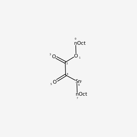 CCCCCCCCOC(=O)[C](=O)[Sn][CH2]CCCCCCC